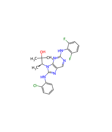 C[C@H](n1c(Nc2ccccc2Cl)nc2cnc(Nc3c(F)cccc3F)nc21)C(C)(C)O